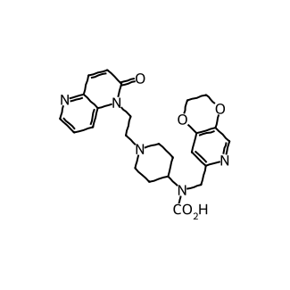 O=C(O)N(Cc1cc2c(cn1)OCCO2)C1CCN(CCn2c(=O)ccc3ncccc32)CC1